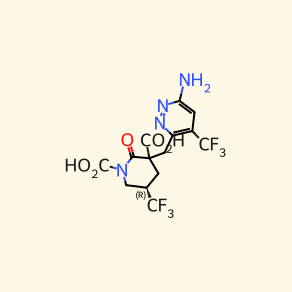 Nc1cc(C(F)(F)F)c(CC2(C(=O)O)C[C@@H](C(F)(F)F)CN(C(=O)O)C2=O)nn1